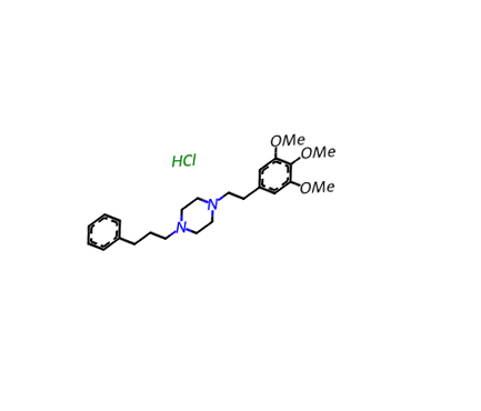 COc1cc(CCN2CCN(CCCc3ccccc3)CC2)cc(OC)c1OC.Cl